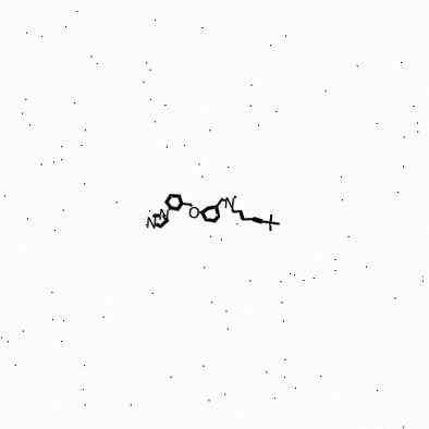 CN(C/C=C/C#CC(C)(C)C)Cc1cccc(OCc2cccc(-n3ccnc3)c2)c1